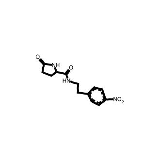 O=C1CCC(C(=O)NCCc2ccc([N+](=O)[O-])cc2)N1